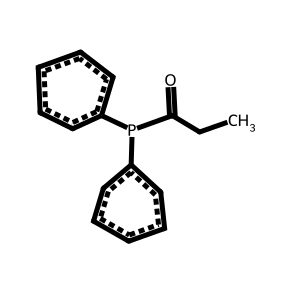 CCC(=O)P(c1ccccc1)c1ccccc1